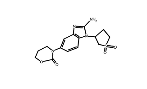 Nc1nc2cc(N3CCCOC3=O)ccc2n1C1CCS(=O)(=O)C1